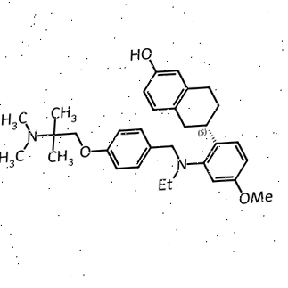 CCN(Cc1ccc(OCC(C)(C)N(C)C)cc1)c1cc(OC)ccc1[C@H]1CCc2cc(O)ccc2C1